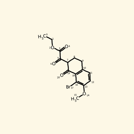 CCOC(=O)C(=O)C1CCc2ccc(OC)c(Br)c2C1=O